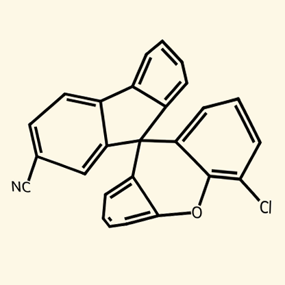 N#Cc1ccc2c(c1)C1(c3ccccc3Oc3c(Cl)cccc31)c1ccccc1-2